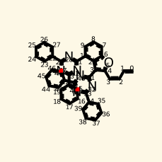 C=C/C=C\c1oc2cccc(-c3nc(-c4ccccc4)nc(-c4ccccc4)n3)c2c1-c1nc(-c2ccccc2)nc(-c2ccccc2)n1